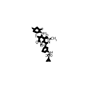 Cn1nc(-c2cccc(NS(=O)(=O)C3CC3)c2)c2c(c(Nc3ccc(I)cc3F)c(F)c(=O)n2C)c1=O